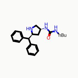 CCCCNC(=O)N[C@H]1CN[C@H](C(c2ccccc2)c2ccccc2)C1